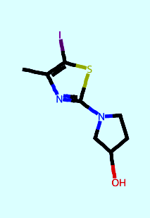 Cc1nc(N2CCC(O)C2)sc1I